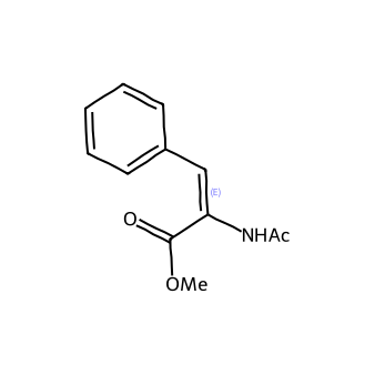 COC(=O)/C(=C\c1ccccc1)NC(C)=O